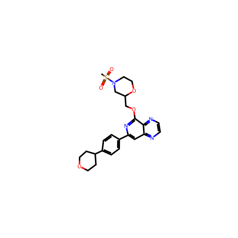 CS(=O)(=O)N1CCOC(COc2nc(-c3ccc(C4CCOCC4)cc3)cc3nccnc23)C1